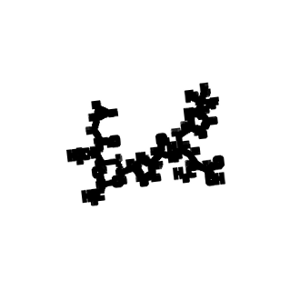 CC(=O)O[C@H](CCN(C)C(=O)CC1CC1)c1nc(C(=O)N[C@@H](Cc2nc(C(F)(F)F)cs2)C[C@H](C)C(=O)O)cs1